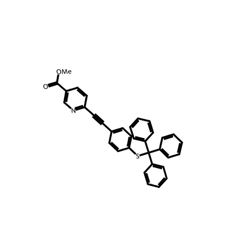 COC(=O)c1ccc(C#Cc2ccc(SC(c3ccccc3)(c3ccccc3)c3ccccc3)cc2)nc1